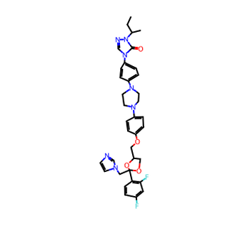 CCC(C)n1ncn(-c2ccc(N3CCN(c4ccc(OCC5COC(Cn6ccnc6)(c6ccc(F)cc6F)O5)cc4)CC3)cc2)c1=O